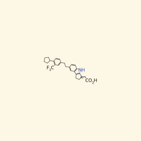 O=C(O)C[C@H]1CCc2c1[nH]c1ccc(CCc3ccc(C4CCCC4)c(C(F)(F)F)c3)cc21